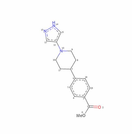 COC(=O)c1ccc(C2CCN(c3cn[nH]c3)CC2)cc1